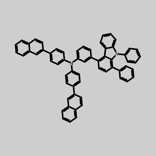 c1ccc(-c2ccc(-c3cccc(N(c4ccc(-c5ccc6ccccc6c5)cc4)c4ccc(-c5ccc6ccccc6c5)cc4)c3)c3c4ccccc4n(-c4ccccc4)c23)cc1